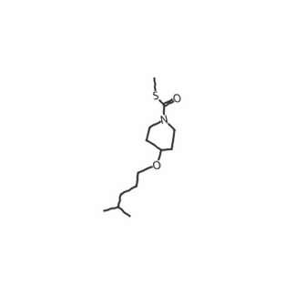 CSC(=O)N1CCC(OCCCC(C)C)CC1